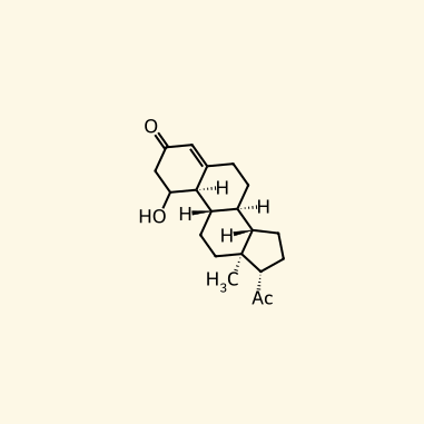 CC(=O)[C@H]1CC[C@H]2[C@@H]3CCC4=CC(=O)CC(O)[C@@H]4[C@H]3CC[C@]12C